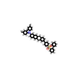 Cc1ccc2c(c1)c1cc(C)ccc1n2-c1ccc2cc3c(cc2c1)Cc1ccc(-c2ccc(S(=O)(=O)c4ccccc4-c4ccccc4)cc2)cc1C3